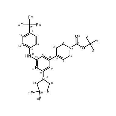 CC(C)(C)OC(=O)N1CC=C(c2cc(Nc3ccc(C(F)(F)F)cn3)nc(N3CCC(F)(F)C3)c2)CC1